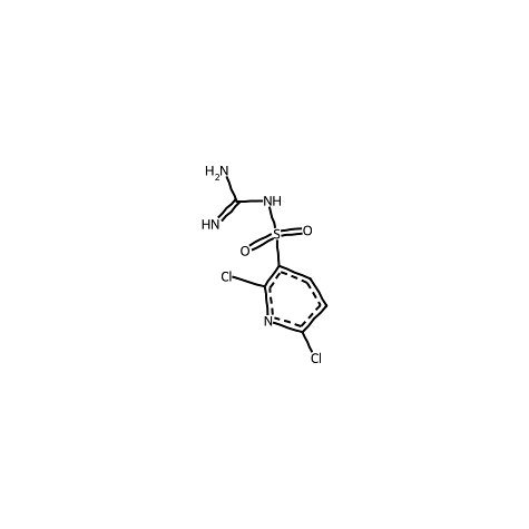 N=C(N)NS(=O)(=O)c1ccc(Cl)nc1Cl